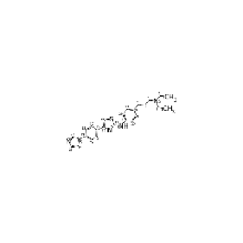 CCN(CC)CCCc1ccc(Nc2nc(-c3ccc(-n4ccnc4)cc3)cs2)cc1